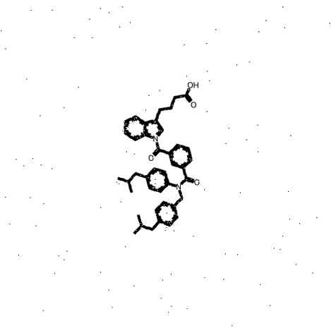 CC(C)Cc1ccc(CN(C(=O)c2cccc(C(=O)n3cc(CCCC(=O)O)c4ccccc43)c2)c2ccc(CC(C)C)cc2)cc1